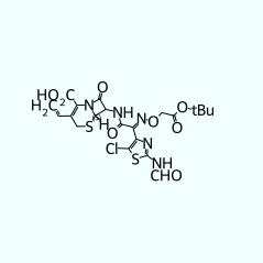 C=CC1=C(C(=O)O)N2C(=O)C(NC(=O)C(=NOCC(=O)OC(C)(C)C)c3nc(NC=O)sc3Cl)[C@@H]2SC1